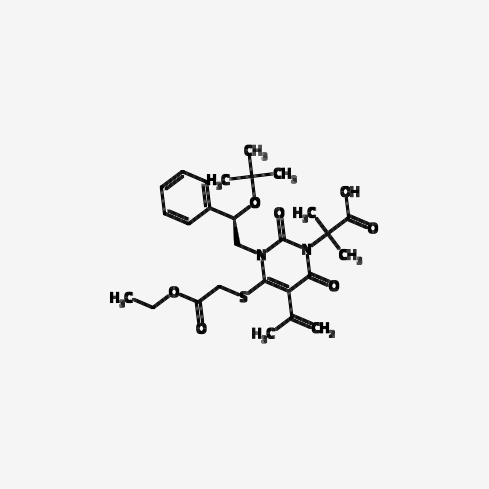 C=C(C)c1c(SCC(=O)OCC)n(C[C@H](OC(C)(C)C)c2ccccc2)c(=O)n(C(C)(C)C(=O)O)c1=O